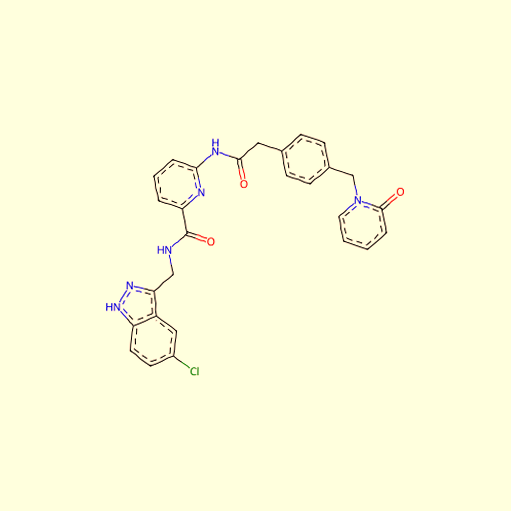 O=C(Cc1ccc(Cn2ccccc2=O)cc1)Nc1cccc(C(=O)NCc2n[nH]c3ccc(Cl)cc23)n1